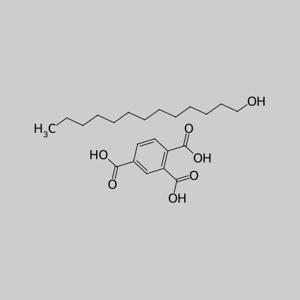 CCCCCCCCCCCCCO.O=C(O)c1ccc(C(=O)O)c(C(=O)O)c1